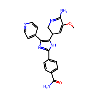 COC1=CC(c2[nH]c(-c3ccc(C(N)=O)cc3)nc2-c2ccncc2)CN=C1N